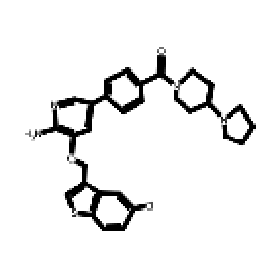 Nc1ncc(-c2ccc(C(=O)N3CCC(N4CCCC4)CC3)cc2)cc1OCc1csc2ccc(Cl)cc12